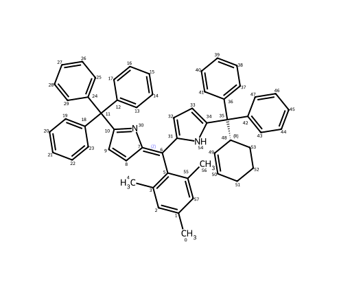 Cc1cc(C)c(/C(=C2\C=CC(C(c3ccccc3)(c3ccccc3)c3ccccc3)=N2)c2ccc(C(c3ccccc3)(c3ccccc3)[C@H]3C=CCCC3)[nH]2)c(C)c1